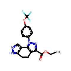 CCOC(=O)c1nn(-c2ccc(OC(F)(F)F)cc2)c2c1CCc1[nH]ncc1-2